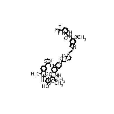 COc1cc2nn(CCN3CCN(CC(=O)N4CCC5(CCCC(N[C@H](C(=O)N6C[C@H](O)C[C@H]6C(=O)N[C@@H](C)c6ccc(-c7scnc7C)cc6)C(C)(C)C)C5)CC4)C3=O)cc2cc1NC(=O)c1cccc(C(F)(F)F)n1